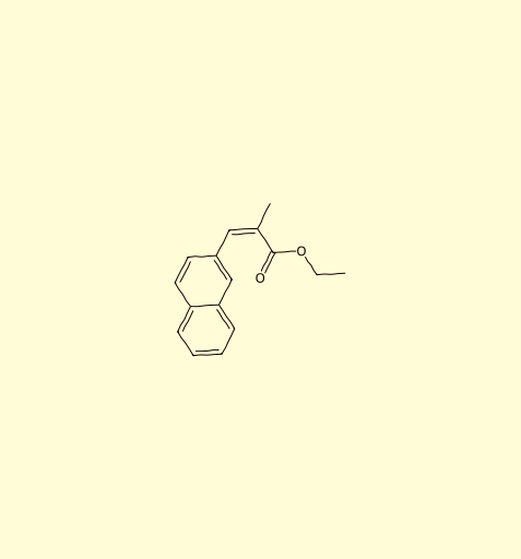 CCOC(=O)C(C)=Cc1ccc2ccccc2c1